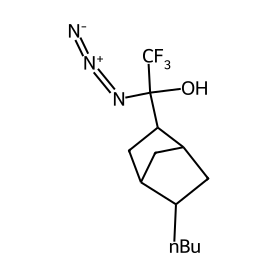 CCCCC1CC2CC1CC2C(O)(N=[N+]=[N-])C(F)(F)F